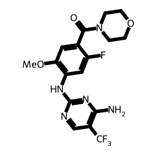 COc1cc(C(=O)N2CCOCC2)c(F)cc1Nc1ncc(C(F)(F)F)c(N)n1